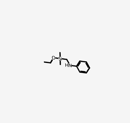 CCO[Si](C)(C)CNc1ccccc1